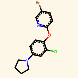 Clc1cc(N2CCCC2)ccc1Oc1ccc(Br)cn1